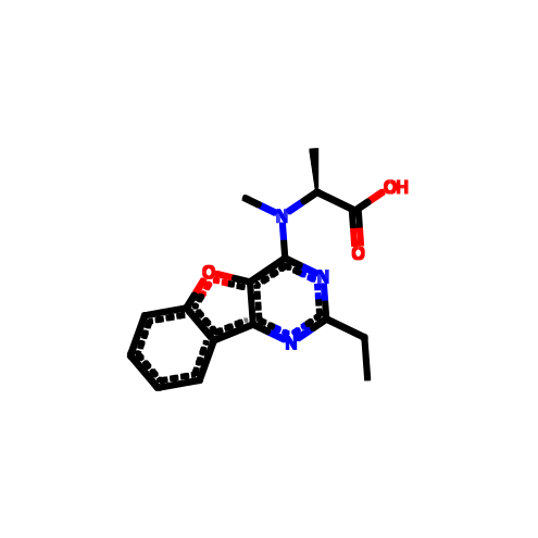 CCc1nc(N(C)[C@@H](C)C(=O)O)c2oc3ccccc3c2n1